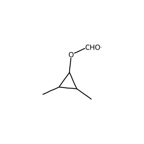 CC1C(C)C1O[C]=O